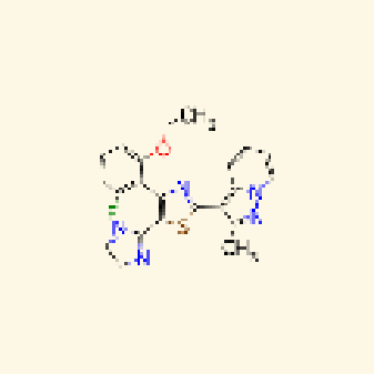 CCOc1cccc(F)c1-c1nc(-c2c(C)nn3ccccc23)sc1C1=NCC=N1